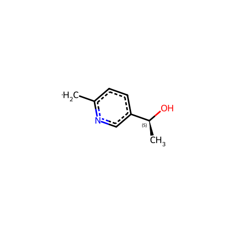 [CH2]c1ccc([C@H](C)O)cn1